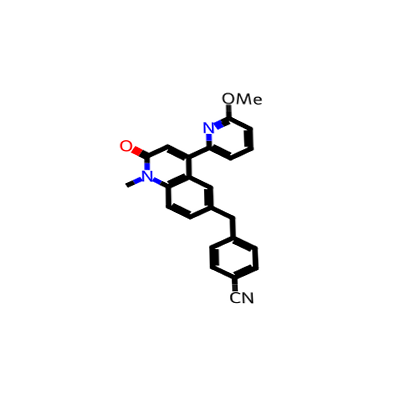 COc1cccc(-c2cc(=O)n(C)c3ccc(Cc4ccc(C#N)cc4)cc23)n1